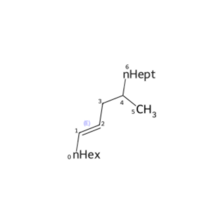 [CH2]CCCCC/C=C/CC(C)CCCCCC[CH2]